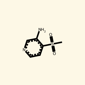 CS(=O)(=O)c1ccncc1N